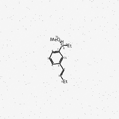 CCC=Cc1cccc([SiH](CC)OC)c1